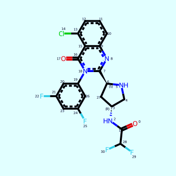 O=C(N[C@H]1CN[C@H](c2nc3cccc(Cl)c3c(=O)n2-c2cc(F)cc(F)c2)C1)C(F)F